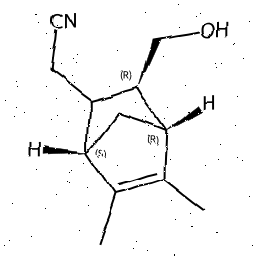 CC1=C(C)[C@@H]2C[C@H]1C(CC#N)[C@H]2CO